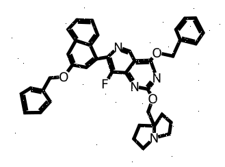 Fc1c(-c2cc(OCc3ccccc3)cc3ccccc23)ncc2c(OCc3ccccc3)nc(OCC34CCCN3CCC4)nc12